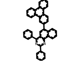 c1ccc(-c2nc(-c3ccccc3)c3cc(-c4ccc5c6ccccc6c6ccccc6c5c4)c4ccccc4c3n2)cc1